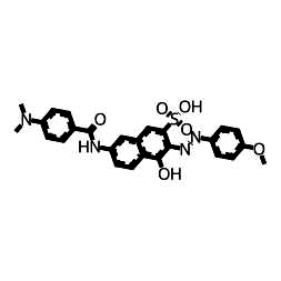 COc1ccc(/N=N/c2c(S(=O)(=O)O)cc3cc(NC(=O)c4ccc(N(C)C)cc4)ccc3c2O)cc1